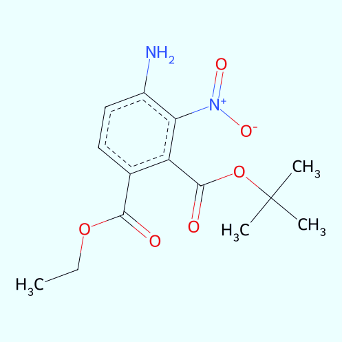 CCOC(=O)c1ccc(N)c([N+](=O)[O-])c1C(=O)OC(C)(C)C